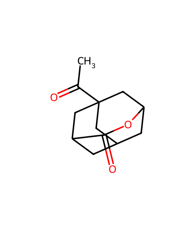 CC(=O)C12CC3CC(C1)OC(=O)C(C3)C2